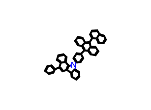 c1ccc(-c2cc3c4ccccc4n(-c4ccc(-c5c6ccccc6c(-c6cccc7ccccc67)c6ccccc56)cc4)c3c3ccccc23)cc1